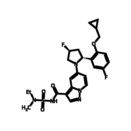 CCN(C)S(=O)(=O)NC(=O)c1cnn2ccc(N3C[C@@H](F)C[C@@H]3c3cc(F)ccc3OCC3CC3)cc12